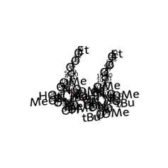 CCOCCOCCOc1ccc(CCC[C@@H](C(=O)OC)N2CCN([C@H](CO)C(=O)OC)CCN([C@H](CO)C(=O)OC)CCN([C@@H](CO)C(=O)OC)CC2)cc1.CCOCCOCCOc1ccc(CCC[C@@H](C(=O)OC)N2CCN([C@H](COC(C)(C)C)C(=O)OC)CCN([C@H](COC(C)(C)C)C(=O)OC)CCN([C@@H](COC(C)(C)C)C(=O)OC)CC2)cc1